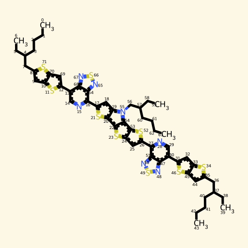 CCCCC(CC)Cc1cc2sc(-c3cnc(-c4cc5c(s4)c4sc6cc(-c7ncc(-c8cc9sc(CC(CC)CCCC)cc9s8)c8nsnc78)sc6c4n5CC(CC)CCCC)c4nsnc34)cc2s1